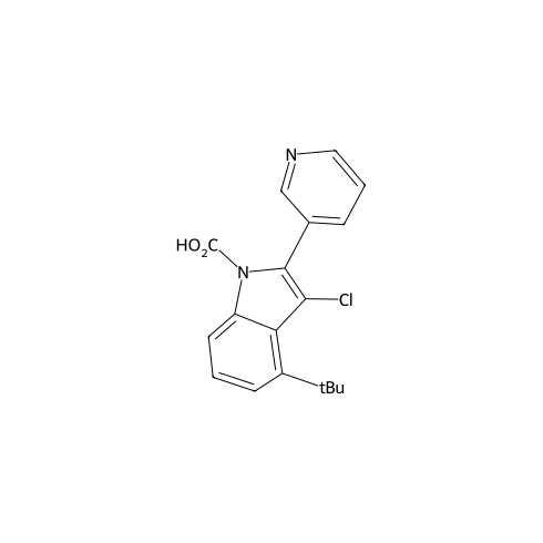 CC(C)(C)c1cccc2c1c(Cl)c(-c1cccnc1)n2C(=O)O